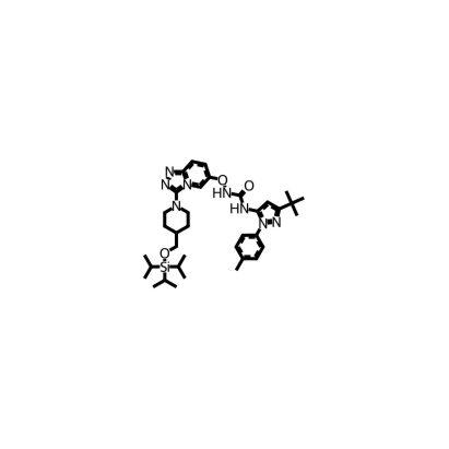 Cc1ccc(-n2nc(C(C)(C)C)cc2NC(=O)NOc2ccc3nnc(N4CCC(CO[Si](C(C)C)(C(C)C)C(C)C)CC4)n3c2)cc1